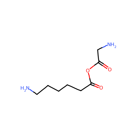 NCCCCCC(=O)OC(=O)CN